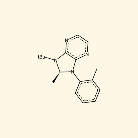 Cc1ccccc1N1c2nccnc2N(C(C)(C)C)[C@@H]1C